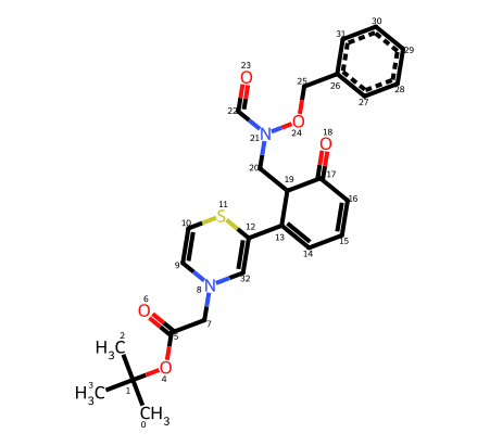 CC(C)(C)OC(=O)CN1C=CSC(C2=CC=CC(=O)C2CN(C=O)OCc2ccccc2)=C1